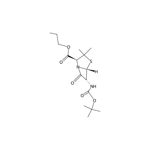 CCCOC(=O)[C@@H]1N2C(=O)[C@@H](NC(=O)OC(C)(C)C)[C@H]2SC1(C)C